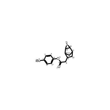 CCC(C)c1ccc(OC(=O)CC2CC3CC2C2SC32)cc1